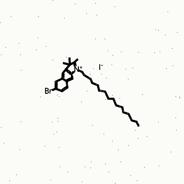 CCCCCCCCCCCCCCCC[N+]1=C(C)C(C)(C)c2cc3cc(Br)ccc3cc21.[I-]